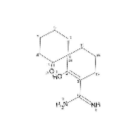 N=C(N)C1=C(O)[C@]2(CCCCC2=O)CCC1